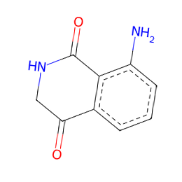 Nc1cccc2c1C(=O)NCC2=O